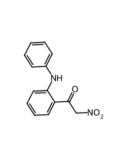 O=C(C[N+](=O)[O-])c1ccccc1Nc1ccccc1